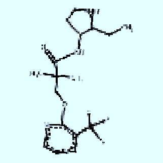 CCC1NCCC1NC(=O)C(C)(C)COc1ncccc1C(F)(F)F